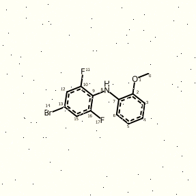 COc1ccccc1Nc1c(F)cc(Br)cc1F